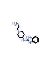 NCCN1CCC(Nc2nc3ccccc3[nH]2)CC1